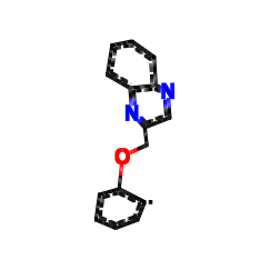 [c]1ccccc1OCc1cnc2ccccc2n1